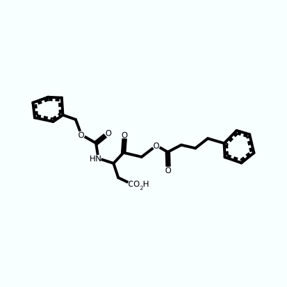 O=C(O)CC(NC(=O)OCc1ccccc1)C(=O)COC(=O)CCCc1ccccc1